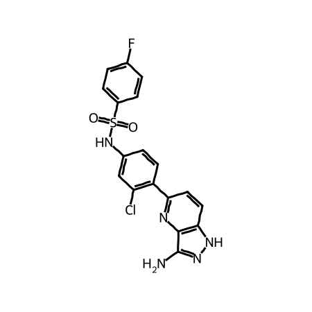 Nc1n[nH]c2ccc(-c3ccc(NS(=O)(=O)c4ccc(F)cc4)cc3Cl)nc12